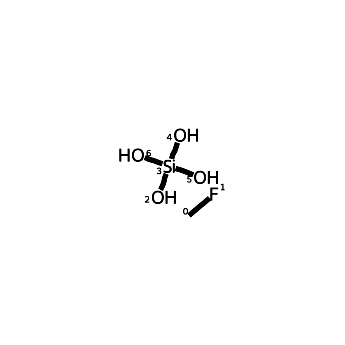 CF.O[Si](O)(O)O